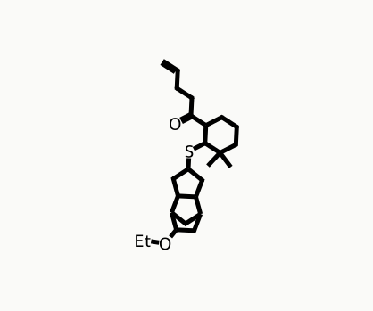 C=CCCC(=O)C1CCCC(C)(C)C1SC1CC2C3CC(OCC)C(C3)C2C1